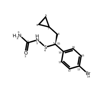 NC(=O)NS[C@@H](CC1CC1)c1ccc(Br)cc1